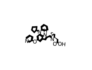 O=C(O)C[C@@H]1CSC(c2cc3cc(Oc4cccnc4)cc(N(c4ccccc4)C4CCCC4)c3[nH]2)=N1